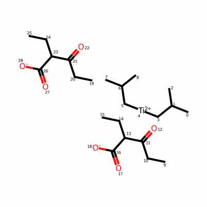 CC(C)[CH2][Ti+2][CH2]C(C)C.CCC(=O)C(CC)C(=O)[O-].CCC(=O)C(CC)C(=O)[O-]